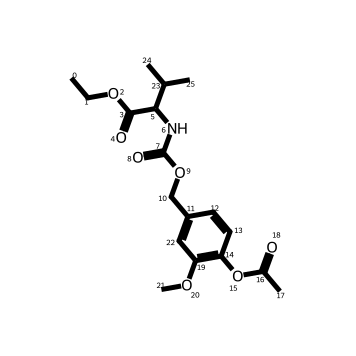 CCOC(=O)C(NC(=O)OCc1ccc(OC(C)=O)c(OC)c1)C(C)C